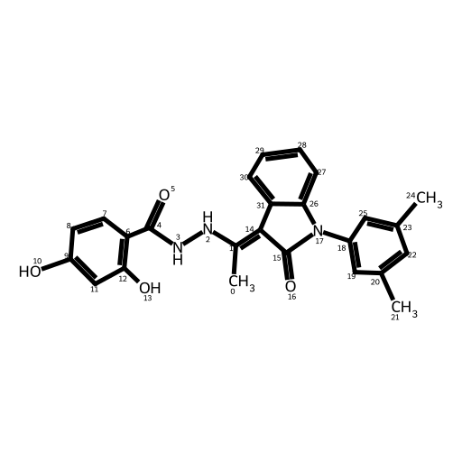 CC(NNC(=O)c1ccc(O)cc1O)=C1C(=O)N(c2cc(C)cc(C)c2)c2ccccc21